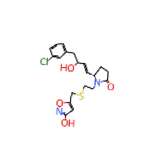 O=C1CC[C@H](/C=C/[C@@H](O)Cc2cccc(Cl)c2)N1CCSCc1cc(O)no1